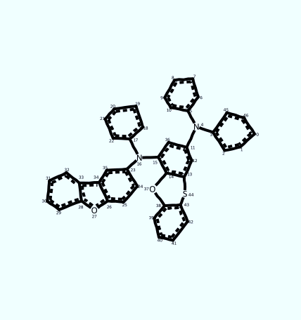 c1ccc(N(c2ccccc2)c2cc3c(c(N(c4ccccc4)c4ccc5oc6ccccc6c5c4)c2)Oc2ccccc2S3)cc1